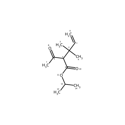 C=CC(C)(C)C(C(C)=O)C(=O)OC(C)C